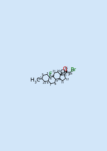 CC1CCC2(F)C(CCC3C4CCC(C(=O)CBr)C4(C)CCC32)C1